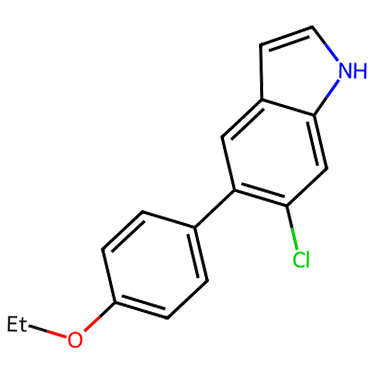 CCOc1ccc(-c2cc3cc[nH]c3cc2Cl)cc1